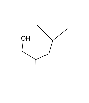 C[C](CO)CC(C)C